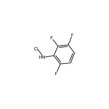 Fc1ccc(F)c(NCl)c1F